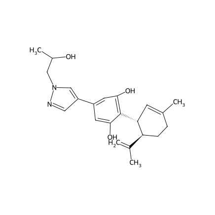 C=C(C)[C@@H]1CCC(C)=C[C@H]1c1c(O)cc(-c2cnn(CC(C)O)c2)cc1O